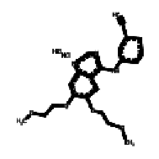 C#Cc1cccc(Nc2ncnc3cc(OCCOC)c(OCCOC)cc23)c1.Cl.Cl